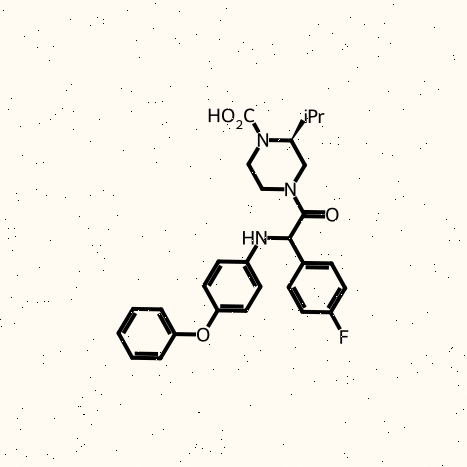 CC(C)[C@H]1CN(C(=O)C(Nc2ccc(Oc3ccccc3)cc2)c2ccc(F)cc2)CCN1C(=O)O